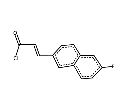 O=C(Cl)/C=C/c1ccc2cc(F)ccc2c1